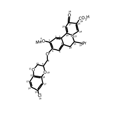 COc1cc2c(cc1OCC1COc3ccc(Cl)cc3O1)CC(C(C)C)n1cc(C(=O)O)c(=O)cc1-2